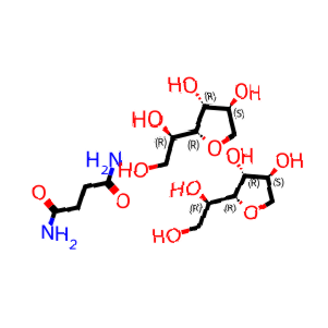 NC(=O)CCC(N)=O.OC[C@@H](O)[C@H]1OC[C@H](O)[C@H]1O.OC[C@@H](O)[C@H]1OC[C@H](O)[C@H]1O